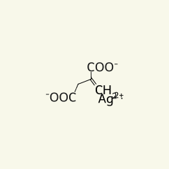 C=C(CC(=O)[O-])C(=O)[O-].[Ag+2]